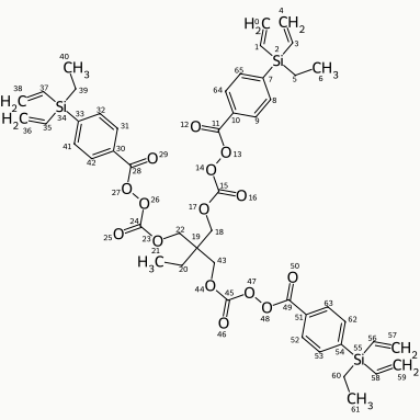 C=C[Si](C=C)(CC)c1ccc(C(=O)OOC(=O)OCC(CC)(COC(=O)OOC(=O)c2ccc([Si](C=C)(C=C)CC)cc2)COC(=O)OOC(=O)c2ccc([Si](C=C)(C=C)CC)cc2)cc1